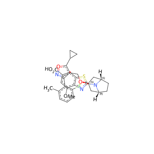 COc1cc(C(=O)O)cc2sc(N3[C@@H]4CC[C@H]3C[C@H](OCc3c(-c5c(C)cccc5F)noc3C3CC3)C4)nc12